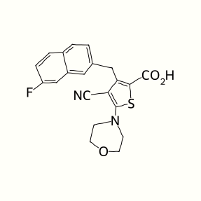 N#Cc1c(N2CCOCC2)sc(C(=O)O)c1Cc1ccc2ccc(F)cc2c1